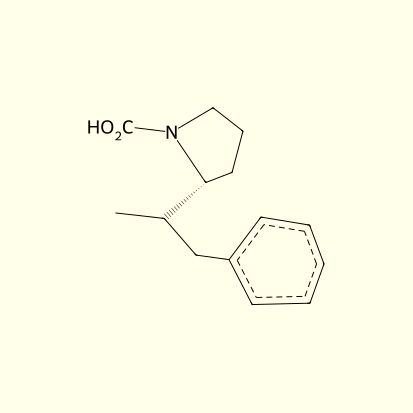 CC(Cc1ccccc1)[C@H]1CCCN1C(=O)O